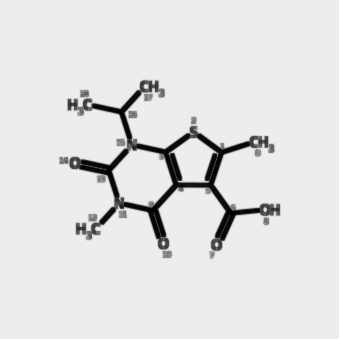 Cc1sc2c(c1C(=O)O)c(=O)n(C)c(=O)n2C(C)C